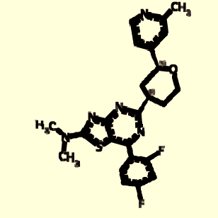 Cc1cc([C@@H]2C[C@H](c3nc(-c4ccc(F)cc4F)c4sc(N(C)C)nc4n3)CCO2)ccn1